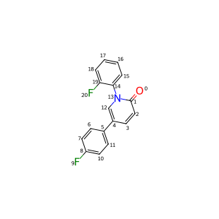 O=c1ccc(-c2ccc(F)cc2)cn1-c1ccccc1F